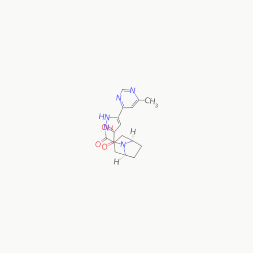 Cc1cc(-c2cc(C(=O)N3[C@@H]4CC[C@H]3CC(C(=O)O)C4)n[nH]2)ncn1